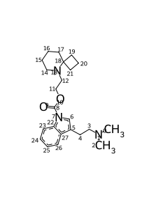 CN(C)CCc1cn(C(=O)OCCN2CCCCC23CCC3)c2ccccc12